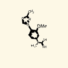 COc1cc(N(C)C(=N)S)ccc1-n1cnc(C)n1